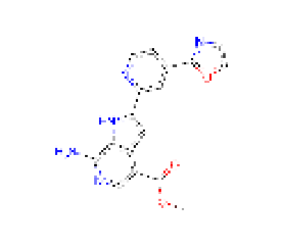 COC(=O)c1cnc(N)c2[nH]c(-c3cc(-c4ncco4)ccn3)cc12